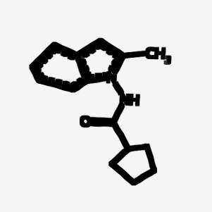 Cc1cc2ccccc2n1NC(=O)C1CCCC1